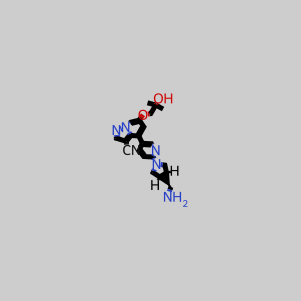 CC(C)(O)COc1cc(-c2ccc(N3C[C@@H]4[C@@H](CN)[C@@H]4C3)nc2)c2c(C#N)cnn2c1